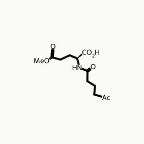 COC(=O)CC[C@H](NC(=O)CCCC(C)=O)C(=O)O